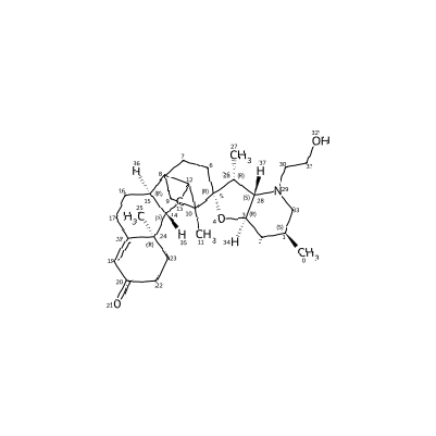 C[C@H]1C[C@H]2O[C@]3(CCC45CC3(C)C4C[C@H]3[C@H]5CCC4=CC(=O)CC[C@@]43C)[C@H](C)[C@@H]2N(CCO)C1